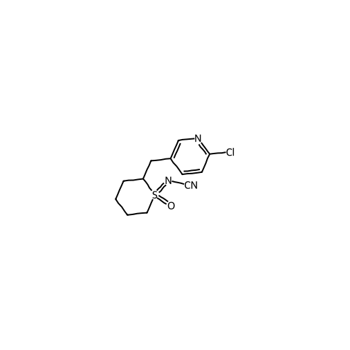 N#CN=S1(=O)CCCCC1Cc1ccc(Cl)nc1